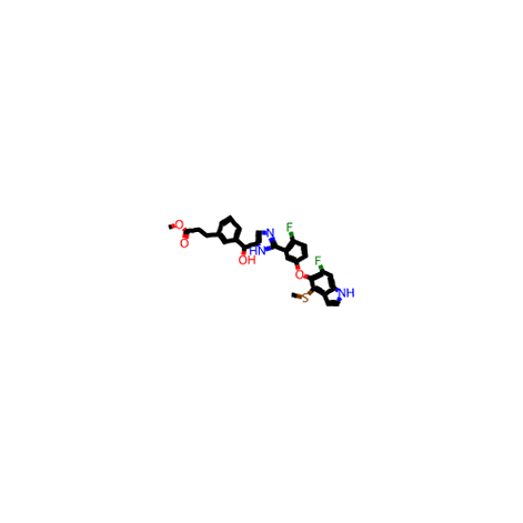 COC(=O)CCc1cccc(C(O)c2cnc(-c3cc(Oc4c(F)cc5[nH]ccc5c4SC)ccc3F)[nH]2)c1